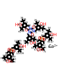 CC(C)(C)c1cc(Cn2c(=O)n(Cc3cc(C(C)(C)C)c(O)c(C(C)(C)C)c3)c(=O)n(Cc3cc(C(C)(C)C)c(O)c(C(C)(C)C)c3)c2=O)cc(C(C)(C)C)c1O.CCC(CC)(c1cc(C(C)(C)C)c(O)c(C(C)(C)C)c1)P(=O)([O-])Cc1cc(C(C)(C)C)c(O)c(C(C)(C)C)c1.CCC(CC)(c1cc(C(C)(C)C)c(O)c(C(C)(C)C)c1)P(=O)([O-])Cc1cc(C(C)(C)C)c(O)c(C(C)(C)C)c1.[Ca+2]